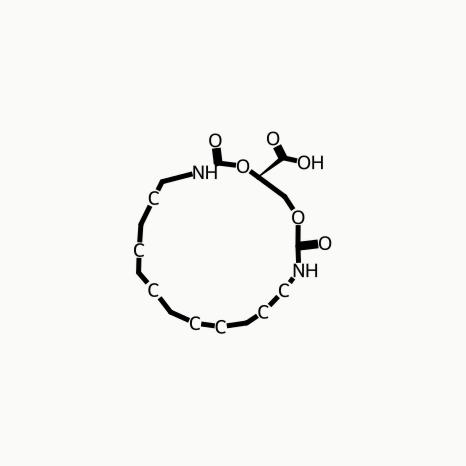 O=C1NCCCCCCCCCCCCNC(=O)O[C@@H](C(=O)O)CO1